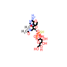 CO[C@@H]1C(C=NC(C)=O)[C@@H](COP(=O)(S)OP(=O)(O)OC2OC([C@@H](O)CO)C(O)C(O)C2O)O[C@@]12C=COc1c(N)ncnc12